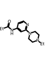 CCC(=O)Nc1ccnc(N2CCN(CC)CC2)c1